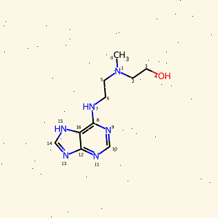 CN(CCO)CCNc1ncnc2nc[nH]c12